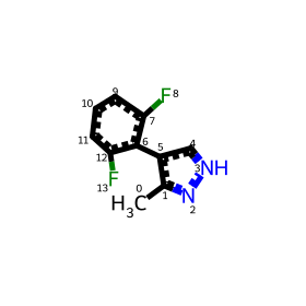 Cc1n[nH]cc1-c1c(F)cccc1F